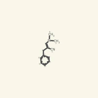 CN(C)/C=C(\C#N)Cc1ccccc1